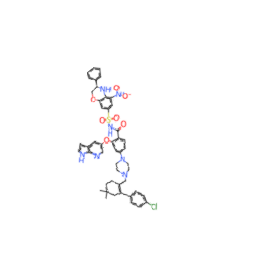 CC1(C)CCC(CN2CCN(c3ccc(C(=O)NS(=O)(=O)c4cc5c(c([N+](=O)[O-])c4)N[C@H](c4ccccc4)CO5)c(Oc4cnc5[nH]ccc5c4)c3)CC2)=C(c2ccc(Cl)cc2)C1